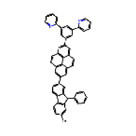 N#Cc1ccc2c(c1)C(c1ccccc1)c1cc(-c3cc4ccc5cc(-c6cc(-c7ccccn7)cc(-c7ccccn7)c6)cc6ccc(c3)c4c56)ccc1-2